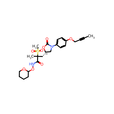 CC#CCOc1ccc(N2C[C@H](CC(C)(C(=O)NOC3CCCCO3)S(C)(=O)=O)OC2=O)cc1